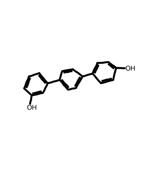 Oc1ccc(-c2ccc(-c3cccc(O)c3)cc2)cc1